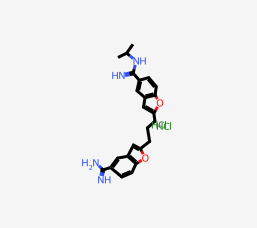 CC(C)NC(=N)c1ccc2oc(CCCc3cc4cc(C(=N)N)ccc4o3)cc2c1.Cl.Cl